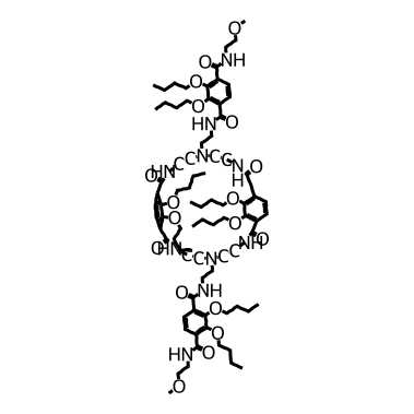 CCCCOc1c(C(=O)NCCOC)ccc(C(=O)NCCN2CCNC(=O)c3ccc(c(OCCCC)c3OCCCC)C(=O)NCCN(CCNC(=O)c3ccc(C(=O)NCCOC)c(OCCCC)c3OCCCC)CCNC(=O)c3ccc(c(OCCCC)c3OCCCC)C(=O)NCC2)c1OCCCC